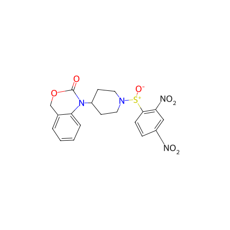 O=C1OCc2ccccc2N1C1CCN([S+]([O-])c2ccc([N+](=O)[O-])cc2[N+](=O)[O-])CC1